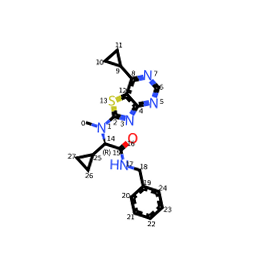 CN(c1nc2ncnc(C3CC3)c2s1)[C@@H](C(=O)NCc1ccccc1)C1CC1